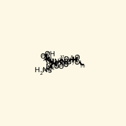 CCCOC(=O)C(C)(C)COS(=O)(=O)N1C(=O)[C@@H](NC(=O)/C(=N/OC(C)(C)C(=O)O)c2csc(N)n2)[C@@H]1C